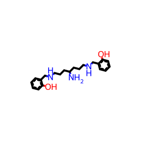 NC(CCCNCc1ccccc1O)CCCNCc1ccccc1O